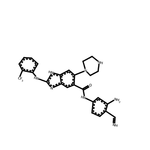 N=Cc1ccc(NC(=O)c2cc3nc(Nc4ccccc4C(F)(F)F)[nH]c3cc2N2CCNCC2)cc1N